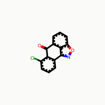 O=C1c2c(Cl)cccc2-c2noc3cccc1c23